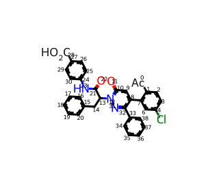 CC(=O)c1ccc(Cl)cc1-c1cc(=O)n(C(Cc2ccccc2)C(=O)Nc2ccc(C(=O)O)cc2)nc1-c1ccccc1